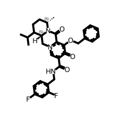 CC(C)C1CC[C@H](C)N2C(=O)c3c(OCc4ccccc4)c(=O)c(C(=O)NCc4ccc(F)cc4F)cn3C[C@H]12